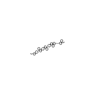 C=CCOc1ccc(C(=O)Oc2ccc(OC(=O)c3ccc(OC(=O)OCCCCOC(=O)C=C)cc3)cc2)cc1